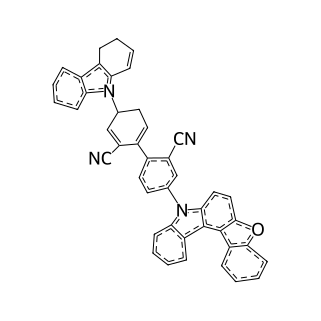 N#CC1=CC(n2c3c(c4ccccc42)CCC=C3)CC=C1c1ccc(-n2c3ccccc3c3c4c(ccc32)oc2ccccc24)cc1C#N